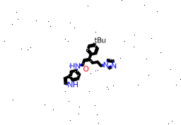 CC(C)(C)c1ccc(/C(=C/C(=O)Nc2ccc3[nH]ccc3c2)CCCn2ccnc2)cc1